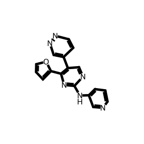 c1cncc(Nc2ncc(-c3ccnnc3)c(-c3ccco3)n2)c1